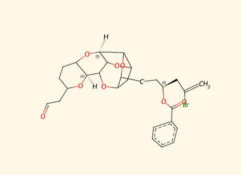 C=C(Br)C[C@H](CCC1OC2C3CC1OC1C(O3)[C@H]2OC2CCC(CC=O)O[C@@H]21)OC(=O)c1ccccc1